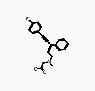 CN(CC=C(C#Cc1ccc(F)cc1)c1ccccc1)CC(=O)O